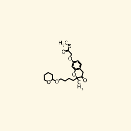 COC(=O)COc1ccc2c(c1)OC(C)(CCCCOC1CCCCO1)C(=O)C2